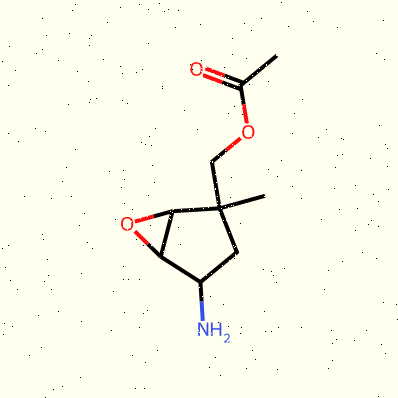 CC(=O)OCC1(C)CC(N)C2OC21